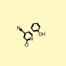 N#Cc1ccnc(Cl)c1.Oc1ccccc1